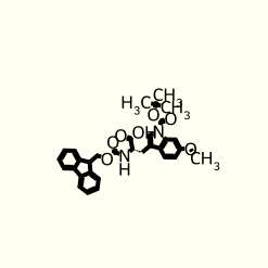 COc1ccc2c(C[C@H](NC(=O)OCC3c4ccccc4-c4ccccc43)C(=O)O)cn(C(=O)OC(C)(C)C)c2c1